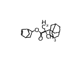 CC(C)(C(=O)OC1CC2C=CC1C2)C12CC3CC(CC(C3)C1)C2